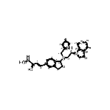 O=C(C=Cc1ccc2c(c1)CCC2N(CCn1ccc2ccccc21)Cc1ccc[nH]1)NO